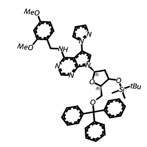 COc1ccc(CNc2ncnc3c2c(-n2cccn2)cn3[C@H]2CC(O[Si](C)(C)C(C)(C)C)[C@@H](COC(c3ccccc3)(c3ccccc3)c3ccccc3)O2)c(OC)c1